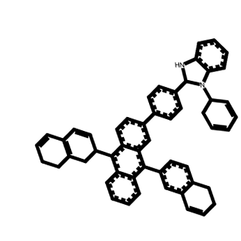 C1=CCC(N2c3ccccc3NC2c2ccc(-c3ccc4c(C5C=CC6=C(CCC=C6)C5)c5ccccc5c(-c5ccc6c(c5)C=CCC6)c4c3)cc2)C=C1